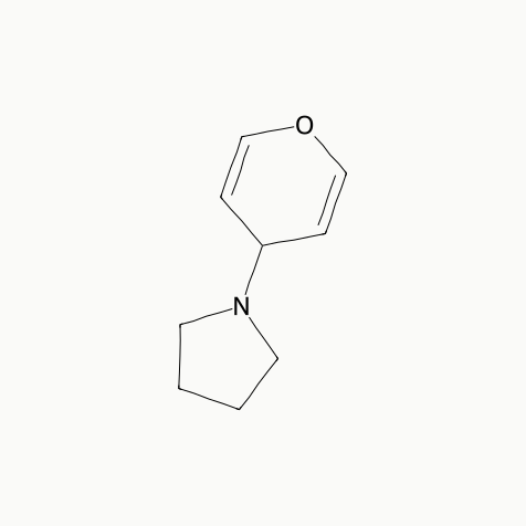 C1=CC(N2CCCC2)C=CO1